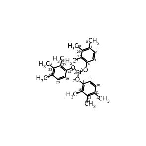 Cc1ccc([O][Bi]([O]c2ccc(C)c(C)c2C)[O]c2ccc(C)c(C)c2C)c(C)c1C